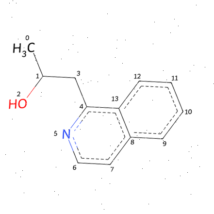 CC(O)Cc1nccc2ccccc12